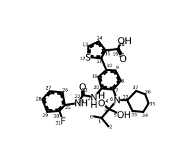 CC(C)C(O)(O)N(c1ccc(-c2sccc2C(=O)O)cc1NC(=O)Nc1ccccc1F)C1CCCCC1